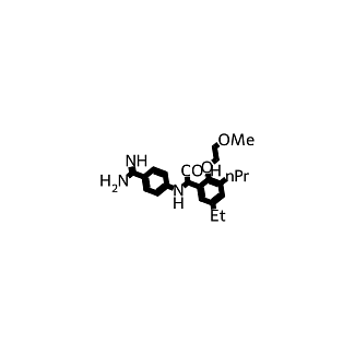 CCCc1cc(CC)cc(C(Nc2ccc(C(=N)N)cc2)C(=O)O)c1OCCOC